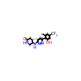 Cc1cc(C(F)(F)F)cc(O)c1-c1ccc(N[C@H]2CCC(=O)NC2)nn1